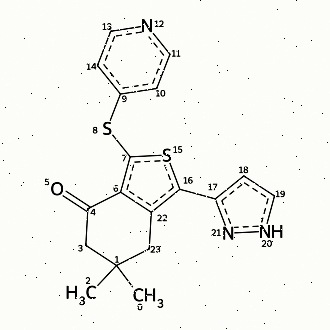 CC1(C)CC(=O)c2c(Sc3ccncc3)sc(-c3cc[nH]n3)c2C1